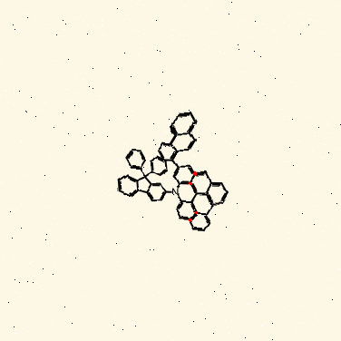 c1ccc(-c2cccc3cccc(-c4ccccc4N(c4cccc(-c5cccc6c5ccc5ccccc56)c4)c4ccc5c(c4)C(c4ccccc4)(c4ccccc4)c4ccccc4-5)c23)cc1